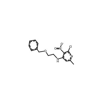 Cc1cc(NCCOCc2ccccc2)c([N+](=O)[O-])c(Cl)n1